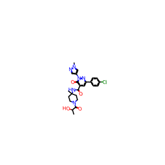 CC(O)C(=O)N1CCC(C)(NC(=O)c2cc(-c3ccc(Cl)cc3)nn(-c3cnn(C)c3)c2=O)CC1